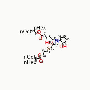 CCCCCCCCC(CCCCCC)COC(=O)CCCCCN(CC(O)CSCCCOC(=O)C(CCCCCC)CCCCCCCC)C1CCCC[C@@H]1O